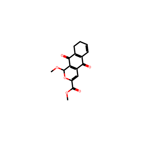 COC(=O)C1=CC2=C(C(=O)C3=C(C=CCC3)C2=O)C(OC)O1